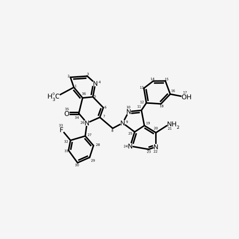 Cc1ccnc2cc(Cn3nc(-c4cccc(O)c4)c4c(N)ncnc43)n(-c3ccccc3F)c(=O)c12